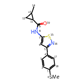 CSc1ccc(-c2cc(NC(=O)C3CC3C)sn2)cc1